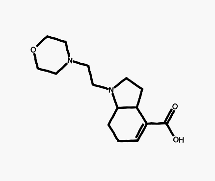 O=C(O)C1=CCCC2C1CCN2CCN1CCOCC1